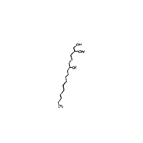 CCCCCCCCCCC(O)CSCC(O)CO